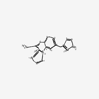 Nc1nc2ccc(-c3cc[nH]n3)cc2n2ccnc12